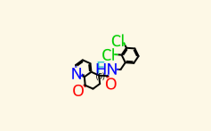 O=C1CC[C@@](F)(C(=O)NCc2cccc(Cl)c2Cl)c2cccnc21